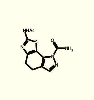 CC(=O)Nc1nc2c(s1)-c1c(cnn1C(N)=O)CC2